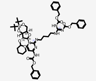 CC(C)(C)[Si]1(C(C)(C)C)OC[C@H]2O[C@@H](n3ccc(NC(=O)OCc4ccccc4)n/c3=N\CCCCN/C(=N/C(=O)OCc3ccccc3)NC(=O)OCc3ccccc3)[C@H](OC3CCCCO3)[C@@H]2O1